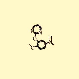 CNc1ccc(OC)c(Oc2ncccn2)c1